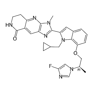 C[C@H](COc1cccc2cc(-c3nc4cc5c(nc4n3C)CCNC5=O)n(CC3CC3)c12)n1cnc(F)c1